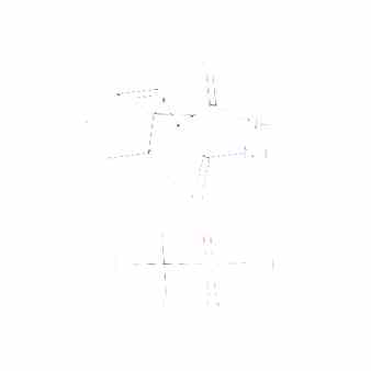 CC1(C)C2=CC(C(N)=O)(C(N)=O)C1(C)CC2.O=S(=O)(O)C(F)(F)F